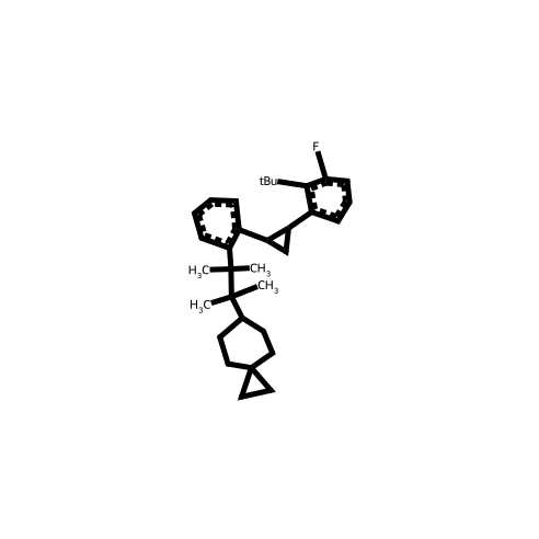 CC(C)(C)c1c(F)cccc1C1CC1c1ccccc1C(C)(C)C(C)(C)C1CCC2(CC1)CC2